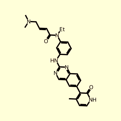 CCN(C(=O)/C=C/CN(C)C)c1cccc(Nc2ncc3cc(-c4c(C)cc[nH]c4=O)ccc3n2)c1